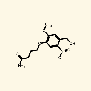 COc1cc(CO)c([N+](=O)[O-])cc1OCCCC(N)=O